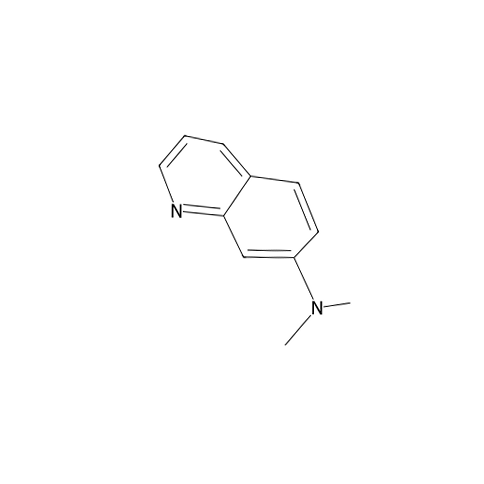 CN(C)c1ccc2cccnc2c1